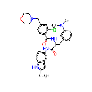 CC(=O)N(C)c1cccc(CC(NC(=O)c2ccc(CN3CCOCC3)cc2Cl)C(=O)Nc2ccc3[nH]c(C(=O)O)cc3c2)c1